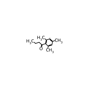 CCCC(=O)c1c(C)[c]c(C)cc1C